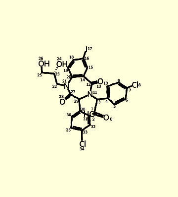 O=C(O)C(c1ccc(Cl)cc1)N1C(=O)c2cc(I)ccc2N(C[C@@H](O)CO)C(=O)C1c1ccc(Cl)cc1